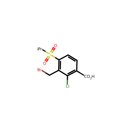 CC(C)S(=O)(=O)c1ccc(C(=O)O)c(Cl)c1CBr